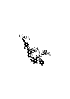 CN(C)CC#Cc1ccc(OCCCc2ccc(N3CCc4cccc(C(=O)N(COCC[Si](C)(C)C)c5nc6ccccc6s5)c4C3)nc2C(=O)OC(C)(C)C)c(F)c1